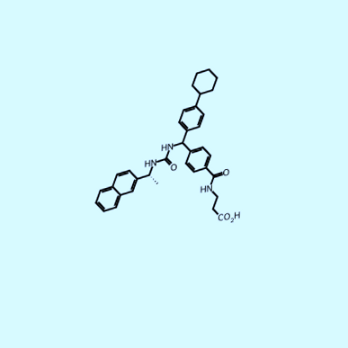 C[C@@H](NC(=O)NC(c1ccc(C(=O)NCCC(=O)O)cc1)c1ccc(C2CCCCC2)cc1)c1ccc2ccccc2c1